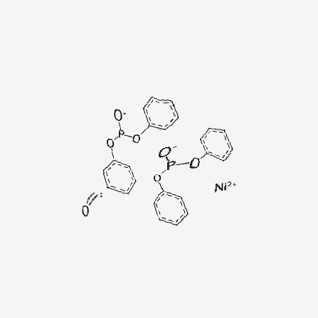 [C]=O.[Ni+2].[O-]P(Oc1ccccc1)Oc1ccccc1.[O-]P(Oc1ccccc1)Oc1ccccc1